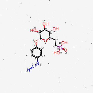 [N-]=[N+]=Nc1ccc(O[C@H]2O[C@H](CCP(=O)(O)O)[C@@H](O)[C@H](O)[C@@H]2O)cc1